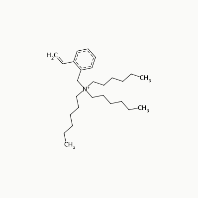 C=Cc1ccccc1C[N+](CCCCCC)(CCCCCC)CCCCCC